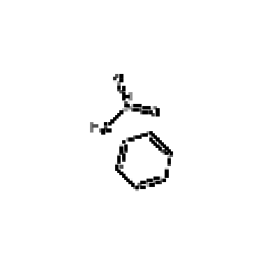 C[SH](=O)=O.c1ccccc1